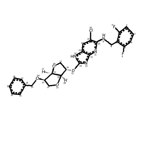 Fc1cccc(F)c1CNc1nc2nc(O[C@H]3CO[C@H]4[C@@H]3OC[C@H]4OCc3ccccc3)[nH]c2cc1Cl